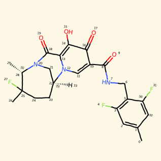 Cc1cc(F)c(CNC(=O)c2cn3c(c(O)c2=O)C(=O)N2C[C@@H]3CCC(C)(F)[C@@H]2C)c(F)c1